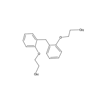 OCCOc1ccccc1Cc1ccccc1OCCO